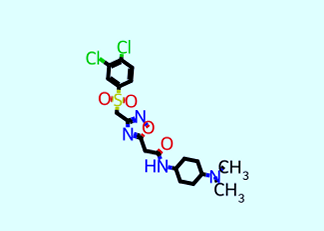 CN(C)C1CCC(NC(=O)Cc2nc(CS(=O)(=O)c3ccc(Cl)c(Cl)c3)no2)CC1